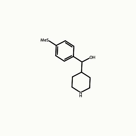 CSc1ccc(C(O)C2CCNCC2)cc1